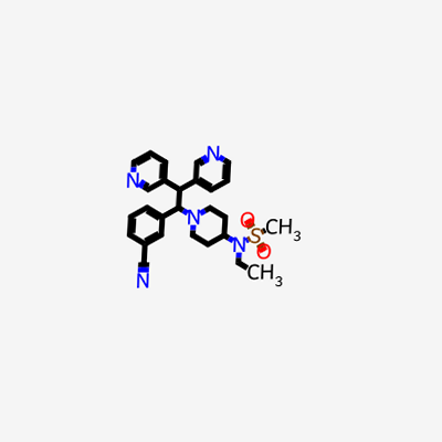 CCN(C1CCN(C(c2cccc(C#N)c2)C(c2cccnc2)c2cccnc2)CC1)S(C)(=O)=O